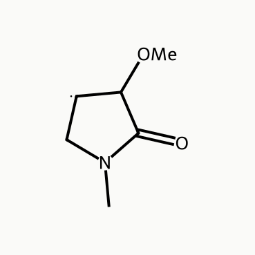 COC1[CH]CN(C)C1=O